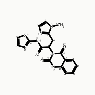 Cn1ccnc1CC(C(=O)Nc1nccs1)n1c(=O)[nH]c2ccccc2c1=O